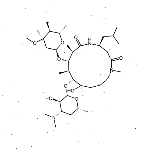 CO[C@]1(C)C[C@H](O[C@H]2[C@H](C)[C@@H](O[C@@H]3O[C@H](C)C[C@H](N(C)C)[C@H]3O)[C@](C)(O)C[C@@H](C)CN(C)C(=O)C[C@H](CC(C)C)NC(=O)[C@@H]2C)O[C@@H](C)[C@@H]1C